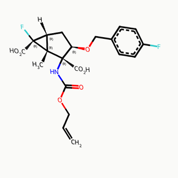 C=CCOC(=O)N[C@@]1(C(=O)O)[C@H](OCc2ccc(F)cc2)C[C@@H]2[C@@]1(C)[C@@]2(F)C(=O)O